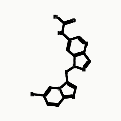 CCC(=O)Nc1cnc2cnn(Sc3cnc4ccc(Br)cn34)c2c1